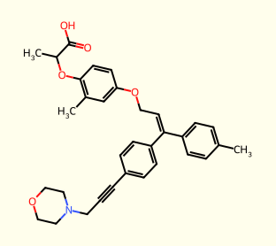 Cc1ccc(C(=CCOc2ccc(OC(C)C(=O)O)c(C)c2)c2ccc(C#CCN3CCOCC3)cc2)cc1